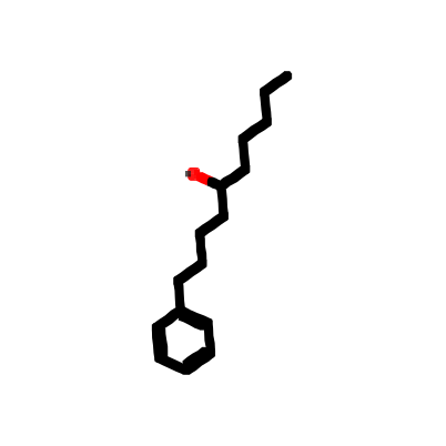 CCCCCC([O])CCCCc1ccccc1